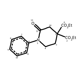 CCOC(=O)C1(C(=O)OCC)CCN(c2ccccc2)C(=O)C1